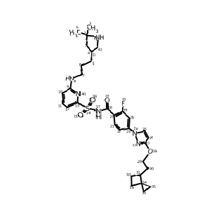 CC1(C)C[C@H](CCCNc2cccc(S(=O)(=O)NC(=O)c3ccc(-n4ccc(OCCC5CCC56CC6)n4)cc3F)n2)CN1